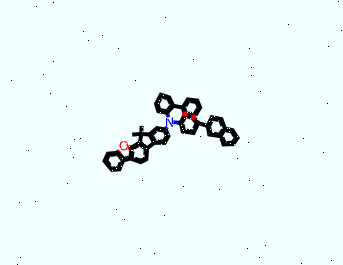 CC1(C)c2cc(N(c3ccc(-c4ccc5ccccc5c4)cc3)c3ccccc3-c3ccccc3)ccc2-c2ccc3c(oc4ccccc43)c21